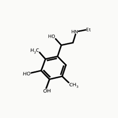 CCNCC(O)c1cc(C)c(O)c(O)c1C